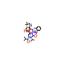 CC(=O)N([C@@H](Cc1ccccc1)C(O)C1=NCC(C)(C)S1)N1C(=O)[C@@H](C(C)C)N(C(=O)C(C)C)C=C1c1ccccc1